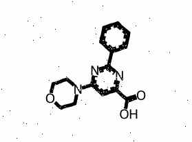 O=C(O)c1cc(N2CCOCC2)nc(-c2ccccc2)n1